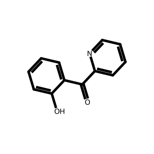 O=C(c1ccccn1)c1ccccc1O